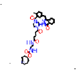 Cc1ccc(Cc2n[nH]c(=O)c3ccccc23)cc1C(=O)N1CCN(C(=O)CCCC(=O)NCCNC(=O)OC2CC/C=C/CCC2)CC1